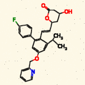 CC(C)c1cc(OCc2ccccn2)cc(-c2ccc(F)cc2)c1C=CC1CC(O)CC(=O)O1